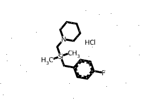 C[Si](C)(Cc1ccc(F)cc1)CN1CCCCC1.Cl